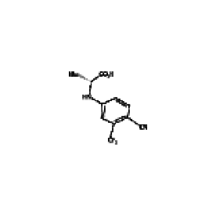 CC(C)(C)[C@@H](Nc1ccc(C#N)c(C(F)(F)F)c1)C(=O)O